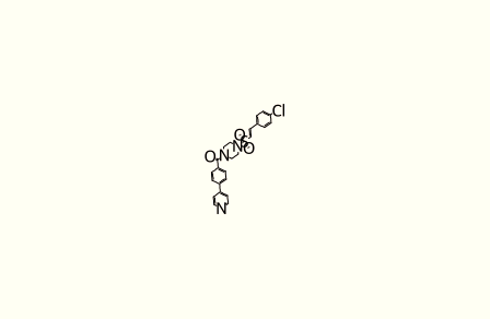 O=C(c1ccc(-c2ccncc2)cc1)N1CCN(S(=O)(=O)/C=C/c2ccc(Cl)cc2)CC1